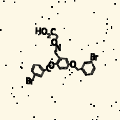 O=C(O)CON=Cc1cc(OCc2cccc(Br)c2)ccc1OCc1cccc(Br)c1